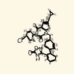 O=c1[nH]c(-c2ccccc2-c2ccc(Cn3c(=O)n(-c4ccc(Cl)cn4)c(=O)c4cc(C5CC5)sc43)cc2)no1